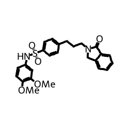 COc1ccc(NS(=O)(=O)c2ccc(CCCN3Cc4ccccc4C3=O)cc2)cc1OC